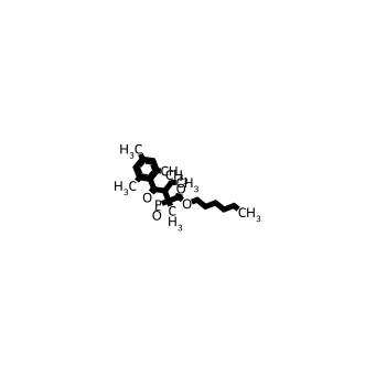 CCCCCCOC(=O)C(C)(P=O)C(C(=O)c1c(C)cc(C)cc1C)C(C)C